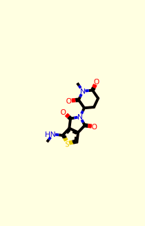 CNc1scc2c1C(=O)N(C1CCC(=O)N(C)C1=O)C2=O